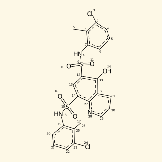 Cc1c(Cl)cccc1NS(=O)(=O)c1cc(S(=O)(=O)Nc2cccc(Cl)c2C)c2ncccc2c1O